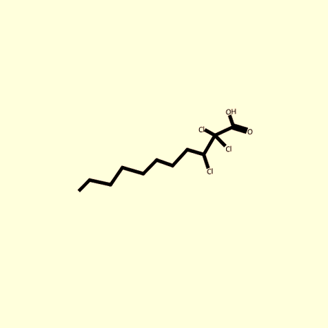 CCCCCCCCC(Cl)C(Cl)(Cl)C(=O)O